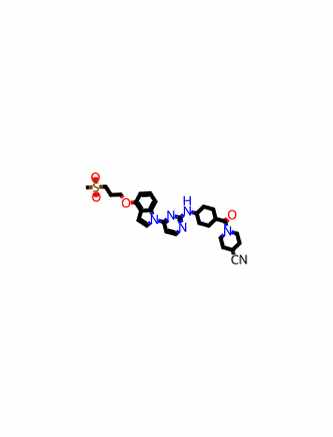 CS(=O)(=O)CCCOc1cccc2c1ccn2-c1ccnc(NC2CCC(C(=O)N3CCC(C#N)CC3)CC2)n1